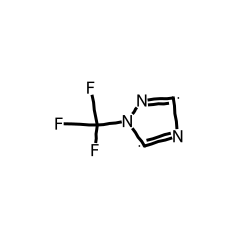 FC(F)(F)n1[c]n[c]n1